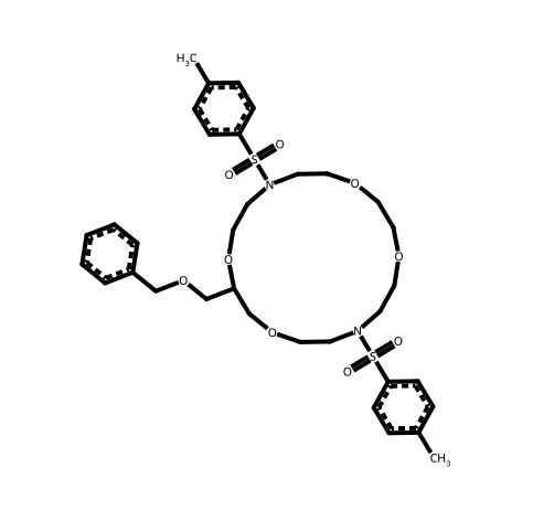 Cc1ccc(S(=O)(=O)N2CCOCCOCCN(S(=O)(=O)c3ccc(C)cc3)CCOC(COCc3ccccc3)COCC2)cc1